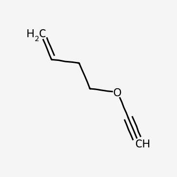 C#COCCC=C